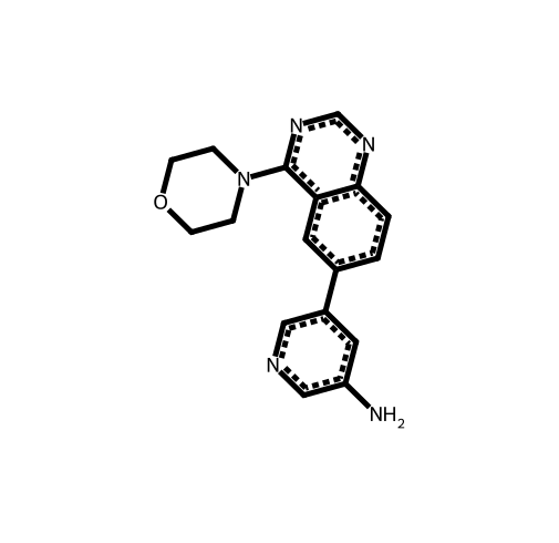 Nc1cncc(-c2ccc3ncnc(N4CCOCC4)c3c2)c1